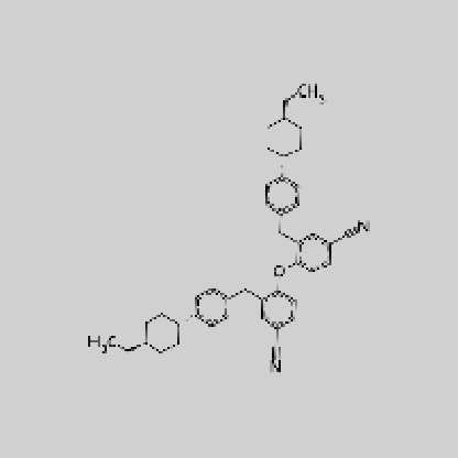 CC[C@H]1CC[C@H](c2ccc(Cc3cc(C#N)ccc3Oc3ccc(C#N)cc3Cc3ccc([C@H]4CC[C@H](CC)CC4)cc3)cc2)CC1